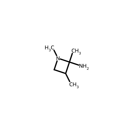 CC1CN(C)C1(C)N